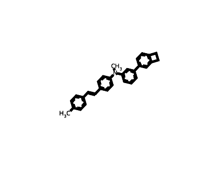 Cc1ccc(/C=C/c2ccc(N(C)c3cccc(-c4ccc5c(c4)CC5)c3)cc2)cc1